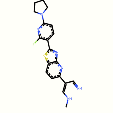 CN/C=C(\C=N)c1ccc2sc(-c3ccc(N4CCCC4)nc3F)nc2n1